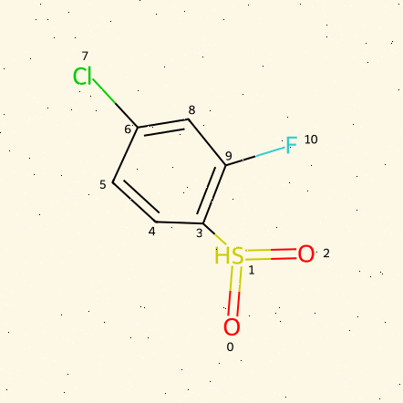 O=[SH](=O)c1ccc(Cl)cc1F